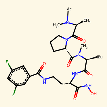 CCC(C)[C@@H](C(=O)N[C@@H](CCNC(=O)c1cc(F)cc(F)c1)C(=O)NO)N(C)C(=O)[C@@H]1CCCN1C(=O)[C@H](C)N(C)C(C)=O